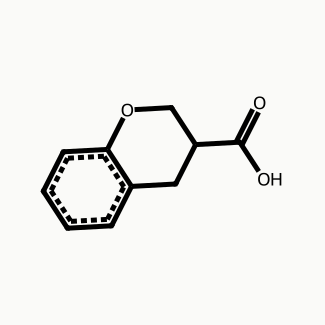 O=C(O)C1COc2ccccc2C1